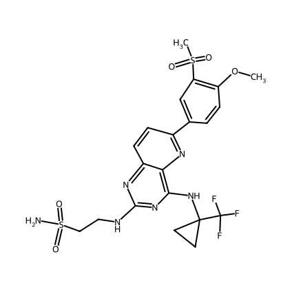 COc1ccc(-c2ccc3nc(NCCS(N)(=O)=O)nc(NC4(C(F)(F)F)CC4)c3n2)cc1S(C)(=O)=O